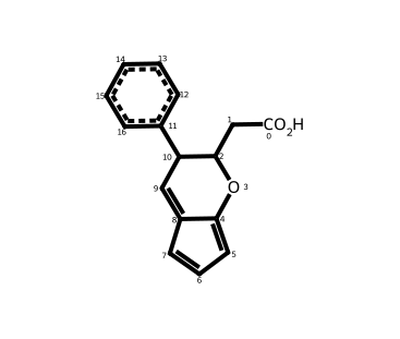 O=C(O)CC1OC2=CC=CC2=CC1c1ccccc1